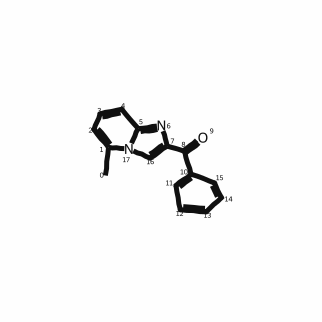 Cc1cccc2nc(C(=O)c3ccccc3)cn12